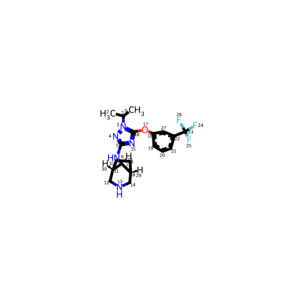 CC(C)n1nc(N[C@H]2[C@@H]3CC[C@H]2CNC3)nc1Oc1cccc(C(F)(F)F)c1